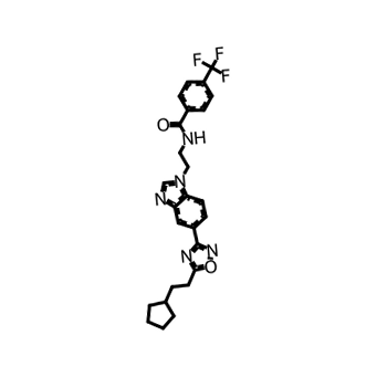 O=C(NCCn1cnc2cc(-c3noc(CCC4CCCC4)n3)ccc21)c1ccc(C(F)(F)F)cc1